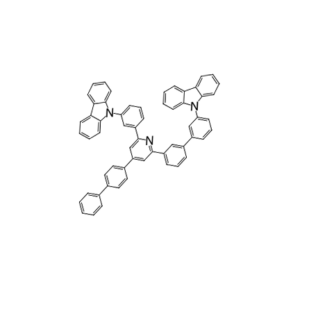 c1ccc(-c2ccc(-c3cc(-c4cccc(-c5cccc(-n6c7ccccc7c7ccccc76)c5)c4)nc(-c4cccc(-n5c6ccccc6c6ccccc65)c4)c3)cc2)cc1